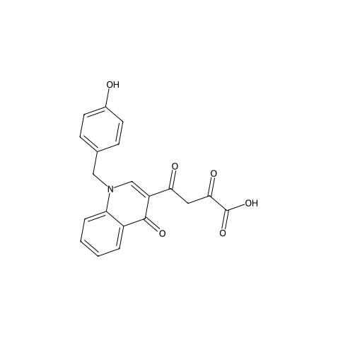 O=C(O)C(=O)CC(=O)c1cn(Cc2ccc(O)cc2)c2ccccc2c1=O